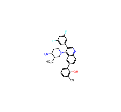 N#Cc1cccc(-c2ccc3ncc(-c4cc(F)cc(F)c4)c(N4CC[C@@H](N)[C@H](C(=O)O)C4)c3c2)c1O